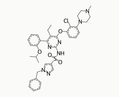 CCc1c(Oc2cccc(N3CCN(C)CC3)c2Cl)nc(NS(=O)(=O)c2cnn(Cc3ccccc3)c2)nc1-c1ccccc1OC(C)C